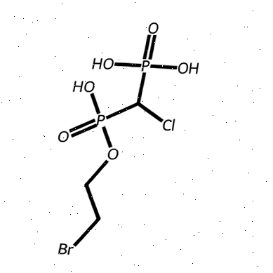 O=P(O)(O)C(Cl)P(=O)(O)OCCBr